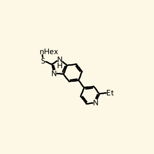 CCCCCCSc1nc2cc(-c3ccnc(CC)c3)ccc2[nH]1